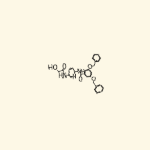 O=C(CO)Nc1ccc(NC(=O)c2cc(OCc3ccccc3)cc(OCc3ccccc3)c2)nc1